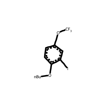 CCCCOc1ccc(OC(F)(F)F)cc1I